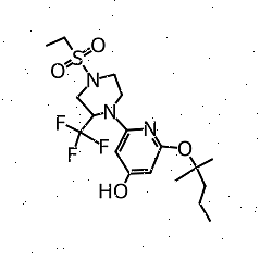 CCCC(C)(C)Oc1cc(O)cc(N2CCN(S(=O)(=O)CC)CC2C(F)(F)F)n1